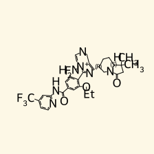 CCOc1cc(C(=O)Nc2cc(C(F)(F)F)ccn2)cc(F)c1C1=NC([C@@H]2CC[C@@H]3N(C2)C(=O)CC3(C)C)=C2C=NC=C[N+]12N